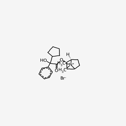 C[N+]1(C)C2CC[C@@H]1[C@H](OC(=O)C(O)(c1ccccc1)C1CCCC1)C2.[Br-]